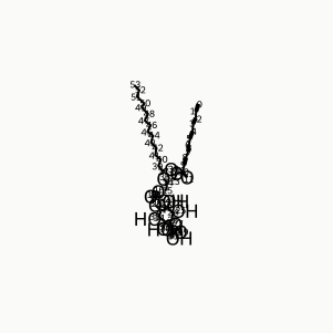 C#CC#CC#CC#CC#CC(=O)OC[C@H](COP(=O)(O)OC1C(O)[C@H](O)[C@H](OP(=O)(O)O)C(O)[C@@H]1O)OC(=O)CCCCCCCCCCCCCCC